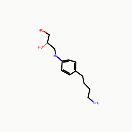 NCCCCc1ccc(NC[C@H](O)CO)cc1